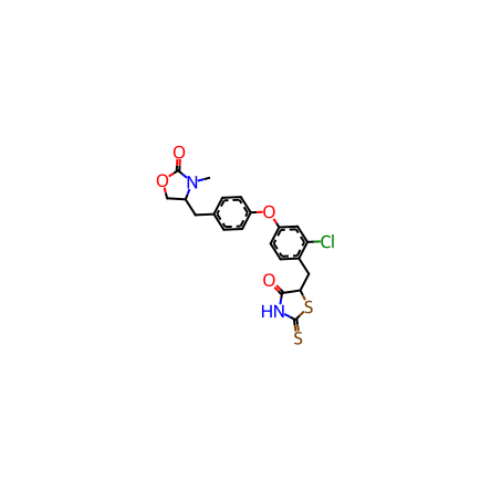 CN1C(=O)OCC1Cc1ccc(Oc2ccc(CC3SC(=S)NC3=O)c(Cl)c2)cc1